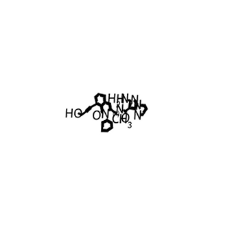 C[C@@H](NC(=O)c1c(N)nn2cccnc12)c1cc2cccc(C#CCO)c2c(=O)n1-c1ccccc1